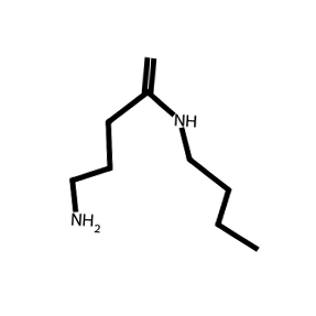 C=C(CCCN)NCCCC